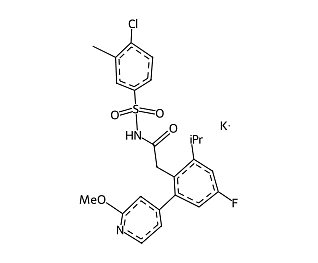 COc1cc(-c2cc(F)cc(C(C)C)c2CC(=O)NS(=O)(=O)c2ccc(Cl)c(C)c2)ccn1.[K]